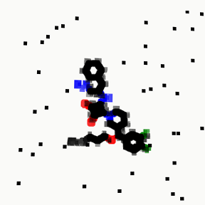 COCCCO[C@@H](c1ccc(F)c(F)c1)C1CCCN(c2c(NC(CN)CC3CCCCC3)c(=O)c2=O)C1